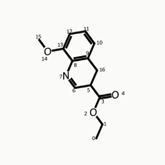 CCOC(=O)C1C=Nc2c(cccc2OC)C1